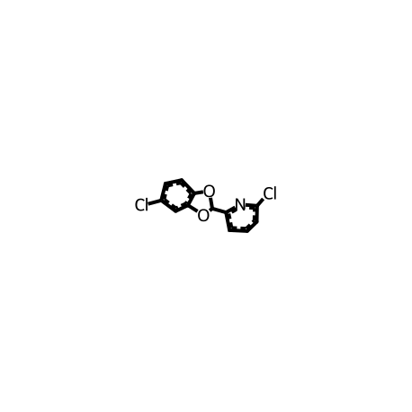 Clc1ccc2c(c1)OC(c1cccc(Cl)n1)O2